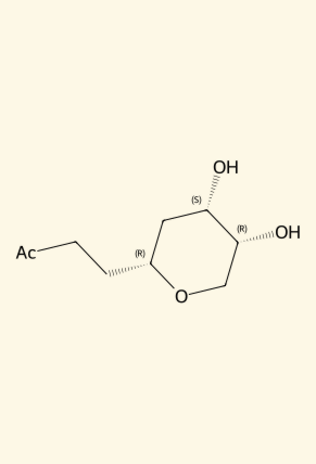 CC(=O)CC[C@@H]1C[C@H](O)[C@H](O)CO1